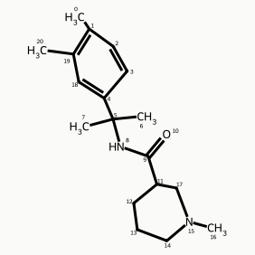 Cc1ccc(C(C)(C)NC(=O)C2CCCN(C)C2)cc1C